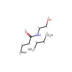 CCCCCCCCCCCC(=O)NCCO.O=C(O)CCC(=O)O